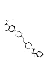 CN(C)C(=O)c1ccc(N2CCC(CCC3CCN(C(=O)[C@](O)(c4ccccc4)C(F)(F)F)CC3)CC2)cc1Cl